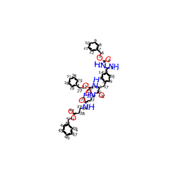 N=C(NC(=O)OCc1ccccc1)c1ccc(C[C@H](NC(=O)OCc2ccccc2)C(=O)NCC(=O)NCCC(=O)OCc2ccccc2)cc1